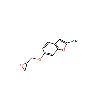 N#Cc1cc2ccc(OCC3CO3)cc2o1